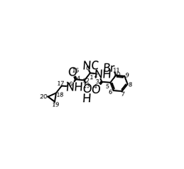 N#CC(NC(=O)c1ccccc1Br)C(O)C(=O)NCC1CC1